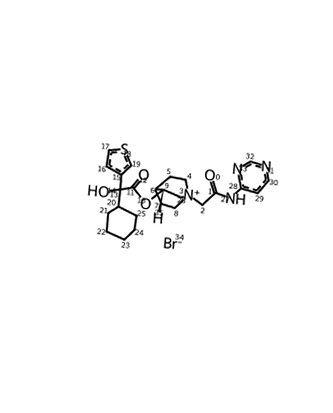 O=C(C[N+]12CCC(CC1)[C@@H](OC(=O)C(O)(c1ccsc1)C1CCCCC1)C2)Nc1ccncn1.[Br-]